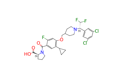 O=C(O)[C@@H]1CCCN1C(=O)c1cc(C2CC2)c(OCC2CCN([C@@H](c3cc(Cl)cc(Cl)c3)C(F)F)CC2)cc1F